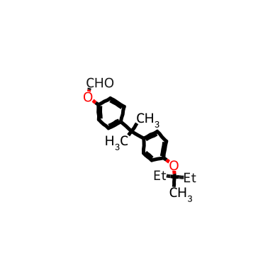 CCC(C)(CC)Oc1ccc(C(C)(C)c2ccc(OC=O)cc2)cc1